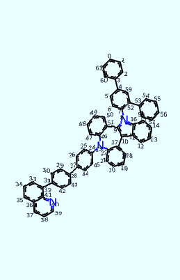 c1ccc(-c2ccc(-n3c4c(c5ccccc53)-c3ccccc3N(c3ccc(-c5ccc(-c6cccc7cccnc67)cc5)cc3)c3ccccc3-4)c(-c3ccccc3)c2)cc1